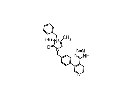 CCCC[N+]1(Cc2ccccc2)C(=O)N(Cc2ccc(-c3cnccc3-c3nnn[nH]3)cc2)C=C1C